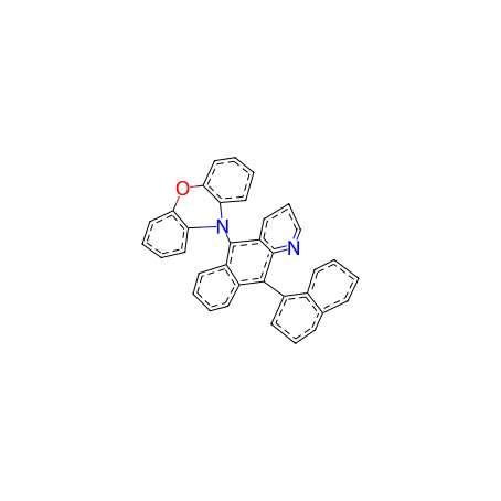 c1ccc2c(c1)Oc1ccccc1N2c1c2ccccc2c(-c2cccc3ccccc23)c2ncccc12